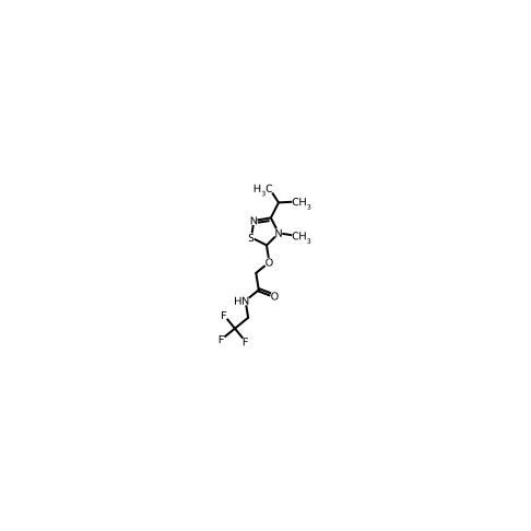 CC(C)C1=NSC(OCC(=O)NCC(F)(F)F)N1C